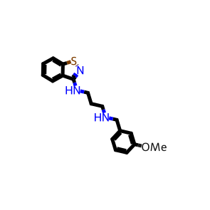 COc1cccc(CNCCCNc2nsc3ccccc23)c1